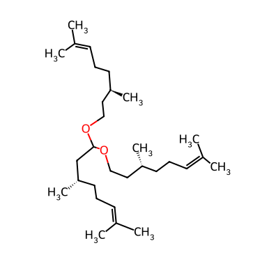 CC(C)=CCC[C@@H](C)CCOC(C[C@@H](C)CCC=C(C)C)OCC[C@H](C)CCC=C(C)C